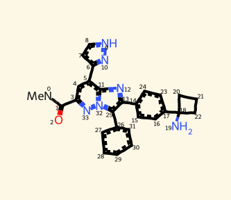 CNC(=O)c1cc(-c2cc[nH]n2)c2nc(-c3ccc(C4(N)CCC4)cc3)c(-c3ccccc3)n2n1